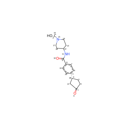 O=C1CC[C@@H](c2ccc(C(=O)NC3CCN(C(=O)O)CC3)cc2)C1